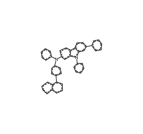 c1ccc(-c2ccc3c4ccc(N(c5ccccc5)c5ccc(-c6cccc7ccccc67)cc5)cc4n(-c4ccccc4)c3c2)cc1